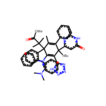 CCCCC1(c2cc(=O)[nH]c(C)n2)C(c2ccccc2)=C(C)C(c2ccccc2-c2ccccc2)(C(C)(C)C(=O)OC)C([N+](=CN(C)C)c2ccccc2)=C1c1nnn[nH]1